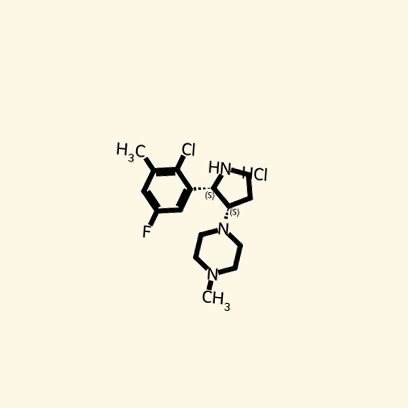 Cc1cc(F)cc([C@@H]2NCC[C@@H]2N2CCN(C)CC2)c1Cl.Cl